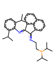 CC(C)c1cccc(C(C)C)c1/N=C1/C(=N/CCP(C(C)C)C(C)C)c2cccc3cccc1c23